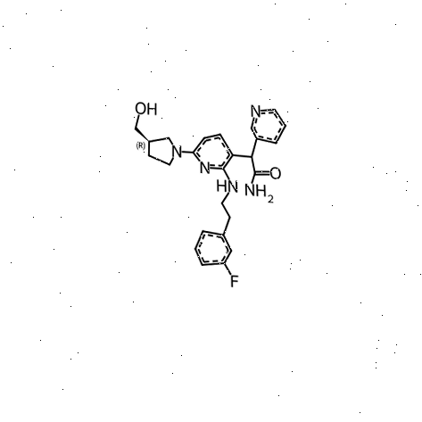 NC(=O)C(c1cccnc1)c1ccc(N2CC[C@@H](CO)C2)nc1NCCc1cccc(F)c1